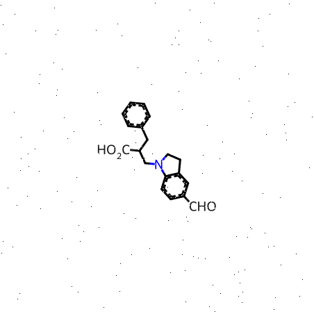 O=Cc1ccc2c(c1)CCN2CC(Cc1ccccc1)C(=O)O